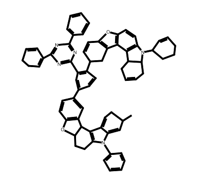 CC1C=c2c(c3c(n2-c2ccccc2)CCC2Oc4ccc(-c5ccc(C6C=Cc7oc8ccc9c(c8c7C6)C6CC=CCC6N9C6C=CCCC6)c(-c6nc(C7=CCCC=C7)nc(-c7ccccc7)n6)c5)cc4C32)=CC1